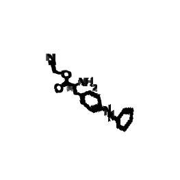 N#CCOC(=O)[C@@H](N)Cc1ccc(N=Nc2ccccc2)cc1